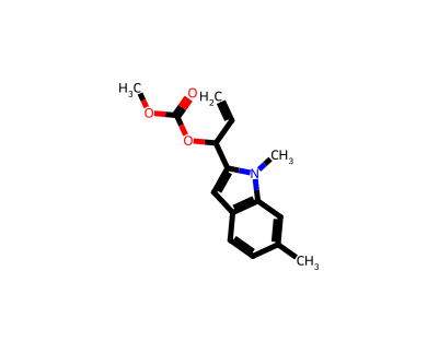 C=CC(OC(=O)OC)c1cc2ccc(C)cc2n1C